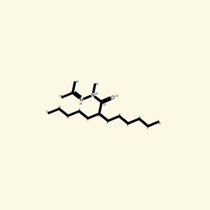 CCCCCCC(CCCCC)C(=O)N(C)N=C(C)C